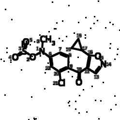 CN(O[SH](=O)=O)c1ccc(C(=O)c2cnoc2C2CC2)c(Cl)c1